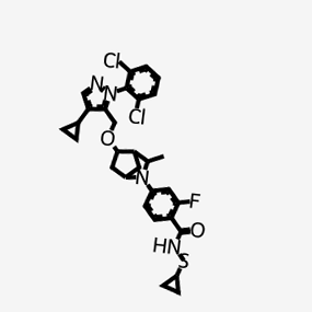 CC1C2CC(CC2OCc2c(C3CC3)cnn2-c2c(Cl)cccc2Cl)N1c1ccc(C(=O)NSC2CC2)c(F)c1